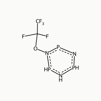 FC(F)(F)C(F)(F)On1pn[pH][nH][pH]1